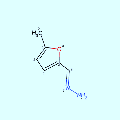 Cc1ccc(C=NN)o1